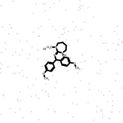 COc1ccc(C(N=C2N(C)CCCCN2C)c2ccc(OC)cc2)cc1.I